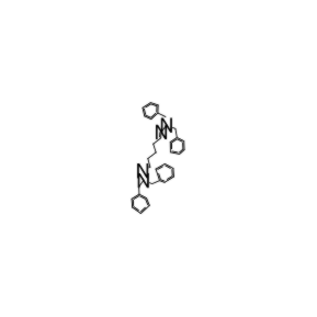 C(CCCC=NN(Cc1ccccc1)Cc1ccccc1)=NN(Cc1ccccc1)Cc1ccccc1